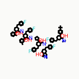 C=CC1(O)CCC(Cc2ccc(F)cc2)CC1CN(C)C.CN(C)CC1CC(Cc2ccc(F)cc2)CCC1(O)C1CCCC1.CN(C)CC1CC(Cc2ccc(F)cc2)CCC1(O)c1ccc(C(C)(C)C)cc1.Cc1cccc(C2(O)CCC(Cc3ccc(F)cc3)CC2CN(C)C)c1.Cc1ccccc1C1(O)CCC(Cc2ccc(F)cc2)CC1CN(C)C